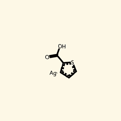 O=C(O)c1cccs1.[Ag]